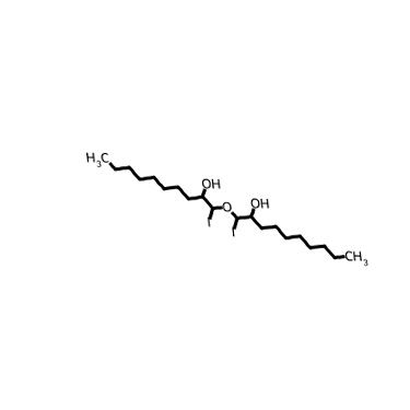 CCCCCCCCC(O)C(I)OC(I)C(O)CCCCCCCC